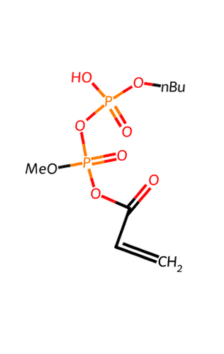 C=CC(=O)OP(=O)(OC)OP(=O)(O)OCCCC